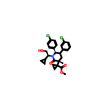 COC(=O)C1([C@@]2(C)CC(c3cccc(Cl)c3)[C@@H](c3ccc(Cl)cc3)N([C@H](CO)C3CC3)C2=O)CC1